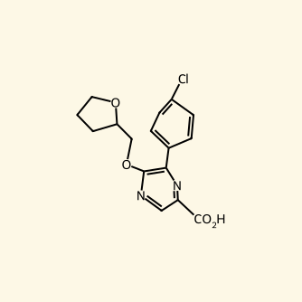 O=C(O)c1cnc(OCC2CCCO2)c(-c2ccc(Cl)cc2)n1